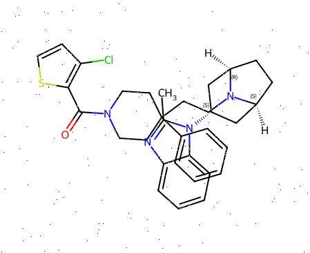 Cc1nc2ccccc2n1[C@@H]1C[C@H]2CC[C@@H](C1)N2CCC1(c2ccccc2)CCN(C(=O)c2sccc2Cl)CC1